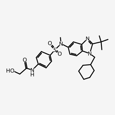 CN(c1ccc2c(c1)nc(C(C)(C)C)n2CC1CCCCC1)S(=O)(=O)c1ccc(NC(=O)CO)cc1